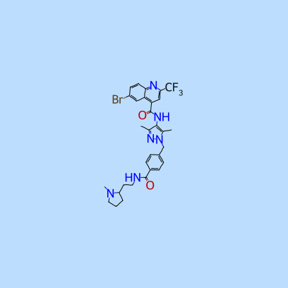 Cc1nn(Cc2ccc(C(=O)NCCC3CCCN3C)cc2)c(C)c1NC(=O)c1cc(C(F)(F)F)nc2ccc(Br)cc12